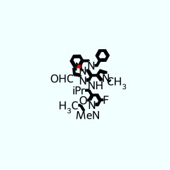 CNCC(C)Oc1ncc(F)cc1C(Nc1nc2c(C=O)cnn2c(N(Cc2ccccc2)Cc2ccccc2)c1-c1ccn(C)c1)C(C)C